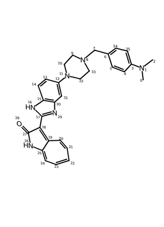 CN(C)c1ccc(CN2CCN(c3ccc4[nH]c(-c5c6cccccc-6[nH]c5=O)nc4c3)CC2)cc1